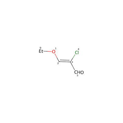 CCOC=C(Cl)C=O